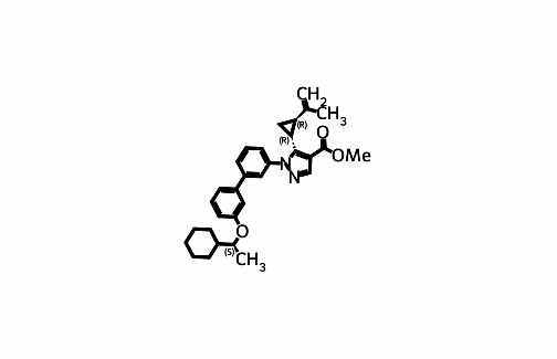 C=C(C)[C@@H]1C[C@H]1c1c(C(=O)OC)cnn1-c1cccc(-c2cccc(O[C@@H](C)C3CCCCC3)c2)c1